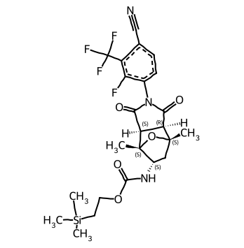 C[C@@]12O[C@@](C)(C[C@@H]1NC(=O)OCC[Si](C)(C)C)[C@@H]1C(=O)N(c3ccc(C#N)c(C(F)(F)F)c3F)C(=O)[C@@H]12